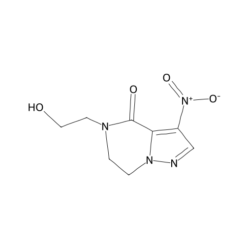 O=C1c2c([N+](=O)[O-])cnn2CCN1CCO